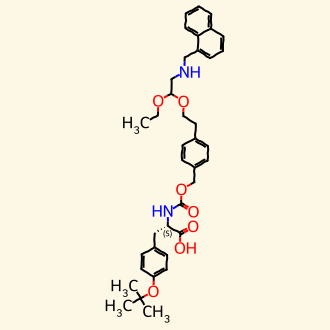 CCOC(CNCc1cccc2ccccc12)OCCc1ccc(COC(=O)N[C@@H](Cc2ccc(OC(C)(C)C)cc2)C(=O)O)cc1